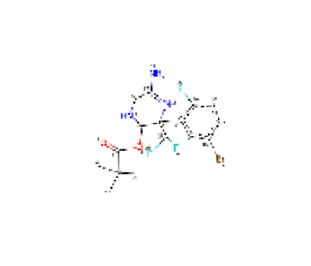 CC(C)(C)C(=O)OC1NCC(N)=NC1(c1cc(Br)ccc1F)C(F)F